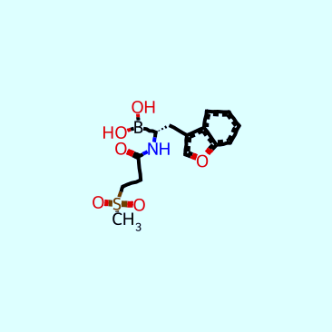 CS(=O)(=O)CCC(=O)N[C@@H](Cc1coc2ccccc12)B(O)O